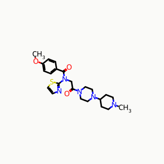 COc1ccc(C(=O)N(CC(=O)N2CCN(C3CCN(C)CC3)CC2)c2nccs2)cc1